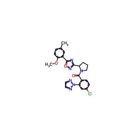 COc1ccc(C)cc1-c1nc(C2CCCN2C(=O)c2ccc(Cl)cc2-n2nccn2)no1